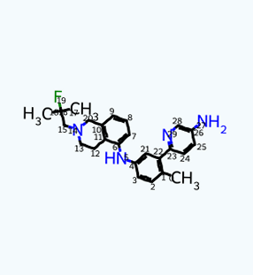 Cc1ccc(Nc2cccc3c2CCN(CC(C)(C)F)C3)cc1-c1ccc(N)cn1